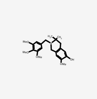 COc1cc2c(cc1O)CC(C)(C)N(Cc1cc(OC)c(OC)c(OC)c1)C2